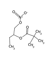 CCC(CO[N+](=O)[O-])OC(=O)C(C)(C)C